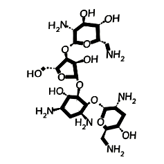 NC[C@@H]1O[C@H](O[C@H]2[C@@H](O)[C@H](O[C@@H]3[C@@H](O)[C@H](N)C[C@H](N)[C@H]3O[C@H]3O[C@H](CN)[C@@H](O)C[C@H]3N)O[C@@H]2CO)[C@H](N)[C@@H](O)[C@@H]1O